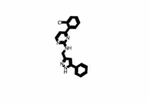 Clc1ccccc1-c1ccnc(NCc2cc(-c3ccccc3)[nH]n2)n1